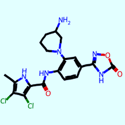 Cc1[nH]c(C(=O)Nc2ccc(-c3noc(=O)[nH]3)cc2N2CCCC(N)C2)c(Cl)c1Cl